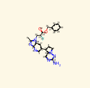 Cc1nc2ncc(-c3ccn4nc(N)ncc34)cc2n1CC(F)C(=O)OCc1ccccc1